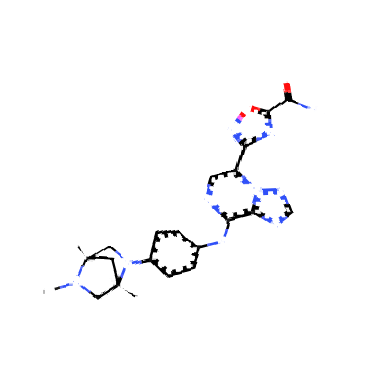 CC(C)N1C[C@@H]2C[C@H]1CN2c1ccc(Nc2ncc(-c3noc(C(N)=O)n3)n3ncnc23)cc1